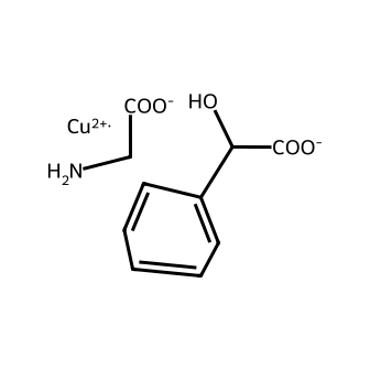 NCC(=O)[O-].O=C([O-])C(O)c1ccccc1.[Cu+2]